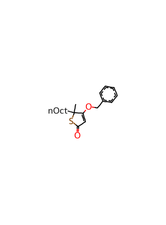 CCCCCCCCC1(C)SC(=O)C=C1OCc1ccccc1